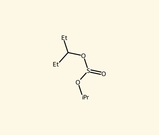 CCC(CC)OS(=O)OC(C)C